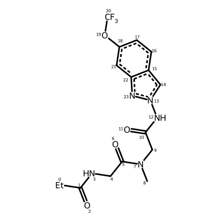 CCC(=O)NCC(=O)N(C)CC(=O)Nn1cc2ccc(OC(F)(F)F)cc2n1